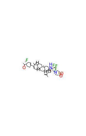 C=C(C)[C@@H]1CC[C@]2(NC(CN3CCS(=O)(=O)CC3)C(F)(F)F)CC[C@]3(C)[C@H](CC[C@@H]4[C@@]5(C)CC=C(C6=CC[C@](CF)(C(C)=O)CC6)C(C)(C)[C@@H]5CC[C@]43C)[C@@H]12